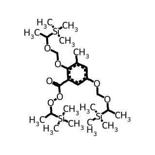 Cc1cc(OCOC(C)[Si](C)(C)C)cc(C(=O)OOC(C)[Si](C)(C)C)c1OCOC(C)[Si](C)(C)C